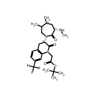 CN[C@H]1C[C@H](C)C(C)CN([C@H]2Cc3ccc(C(F)(F)F)cc3N(CC(=O)OC(C)(C)C)C2=O)C1=O